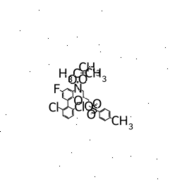 Cc1ccc(S(=O)(=O)OCC2CN(C(=O)OC(C)(C)C)c3cc(F)cc(-c4c(Cl)cccc4Cl)c3O2)cc1